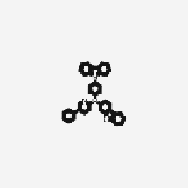 c1ccc(-c2ccc(N(c3ccc(-n4c5ccccc5c5ccccc54)cc3)c3ccc4c(c3)oc3ccccc34)nc2)cc1